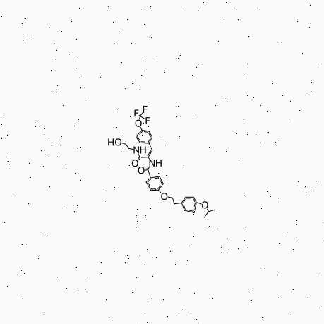 CC(C)Oc1ccc(CCOc2ccc(C(=O)NC(=Cc3ccc(OC(F)(F)F)cc3)C(=O)NCCO)cc2)cc1